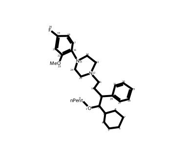 CCCCCOC(C1CCCCC1)C(CCN1CCN(c2ccc(F)cc2OC)CC1)c1ccccc1